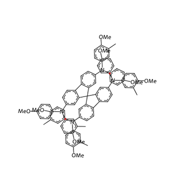 COc1ccc(N(c2ccc(OC)c(C)c2)c2ccc3c(c2)C2(c4cc(N(c5ccc(OC)cc5)c5ccc(OC)c(C)c5)ccc4-3)c3cc(N(c4ccc(OC)cc4)c4ccc(OC)c(C)c4)ccc3-c3ccc(N(c4ccc(OC)c(C)c4)c4ccc(OC)c(C)c4)cc32)cc1